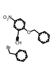 BrCc1ccccc1.C#Cc1cc([N+](=O)[O-])ccc1OCc1ccccc1